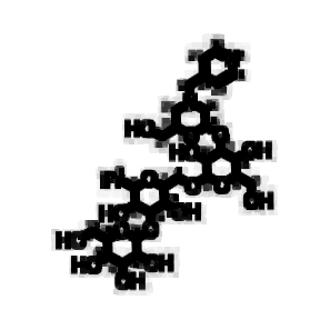 CC(C)C1OC(COC2OC(CO)C(O)C(OC3CN(Cc4ccncc4)CC(CO)O3)C2O)C(O)C(OC2OC(CO)C(O)C(O)C2O)C1O